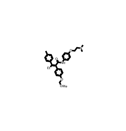 CCC(=C(C(=O)Nc1ccc(OCCN(C)C)cc1)c1ccc(OCOC)cc1)c1ccc(C)cc1